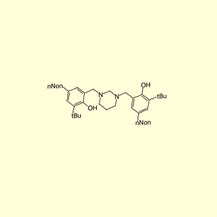 CCCCCCCCCc1cc(CN2CCCN(Cc3cc(CCCCCCCCC)cc(C(C)(C)C)c3O)C2)c(O)c(C(C)(C)C)c1